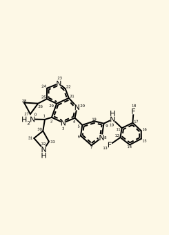 NC(c1nc(-c2ccnc(Nc3c(F)cccc3F)c2)nc2cncc(C3CC3)c12)C1CNC1